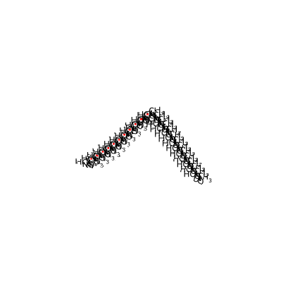 CC(=O)O.CC(=O)O.CC(=O)O.CC(=O)O.CC(=O)O.CC(=O)O.CC(=O)O.CC(=O)O.CC(=O)O.CC(=O)O.CC(=O)O.CC(=O)O.CC(=O)O.CC(=O)O.CC(=O)O.CC(=O)O.CC(=O)O.CC(=O)O.CC(=O)O.CC(=O)O.CC(=O)O.CC(=O)O.CC(=O)O.CC(=O)O.CC(=O)[O-].[Na+]